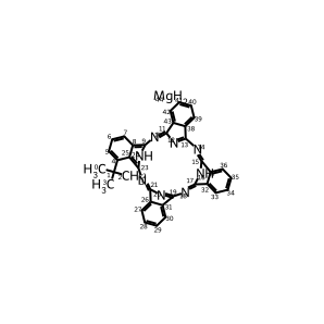 CC(C)(C)c1cccc2c3nc4nc(nc5[nH]c(nc6nc(nc([nH]3)c12)-c1ccccc1-6)c1ccccc51)-c1ccccc1-4.[MgH2]